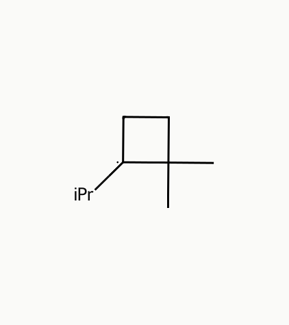 [CH2]C(C)[C]1CCC1(C)C